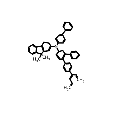 C=C/C=C(\C=C)c1ccc(C2=C(c3ccccc3)CC(N(C3=CC4=C(CC3)c3ccccc3C4(C)C)c3ccc(-c4ccccc4)cc3)C=C2)cc1